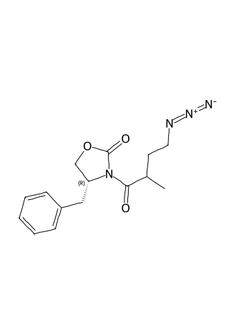 CC(CCN=[N+]=[N-])C(=O)N1C(=O)OC[C@H]1Cc1ccccc1